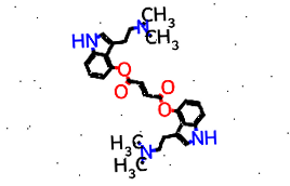 CN(C)CCc1c[nH]c2cccc(OC(=O)/C=C/C(=O)Oc3cccc4[nH]cc(CCN(C)C)c34)c12